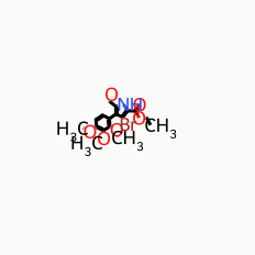 CCOC(=O)c1[nH]c(C=O)c(-c2ccc(OC)c(OC)c2OC)c1Br